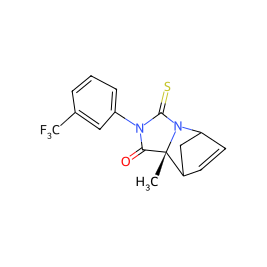 C[C@@]12C(=O)N(c3cccc(C(F)(F)F)c3)C(=S)N1C1C=CC2C1